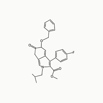 COC(=O)C1=C(c2ccc(F)cc2)C2=CC(OCc3ccccc3)C(=O)CC2=CN1CC(C)C